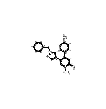 Cn1cc(-c2cnn(Cc3ccccc3)c2)c(-c2ccc(C#N)cc2)cc1=O